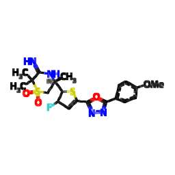 COc1ccc(-c2nnc(C3=CC(F)C([C@]4(C)CS(=O)(=O)C(C)(C)C(=N)N4)S3)o2)cc1